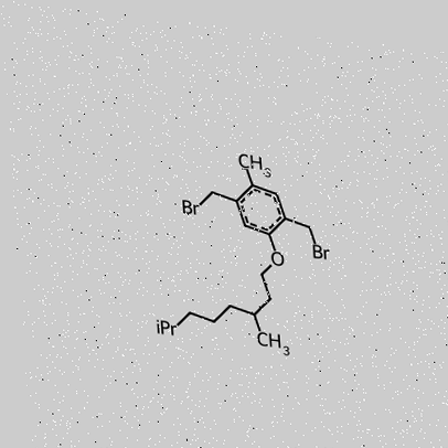 Cc1cc(CBr)c(OCCC(C)CCCC(C)C)cc1CBr